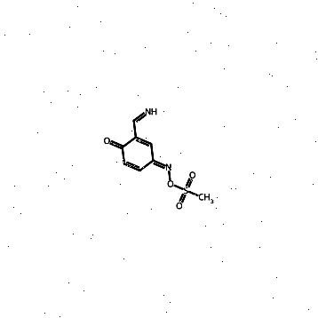 CS(=O)(=O)ON=C1C=CC(=O)C(C=N)=C1